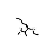 CCC/C=C(/NCC)C(C)NC